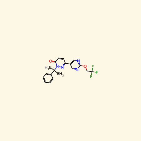 BC(B)(c1ccccc1)n1nc(-c2cnc(OCC(F)(F)F)nc2)ccc1=O